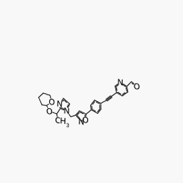 CC(OC1CCCCO1)c1nccn1Cc1cc(-c2ccc(C#Cc3ccc(C=O)nc3)cc2)on1